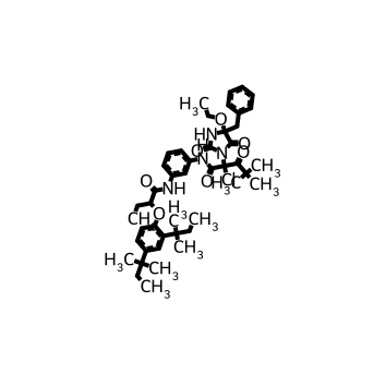 CCOC1(Cc2ccccc2)NC(=O)N(C(Cl)(C(=O)Nc2cccc(NC(=O)C(CC)Oc3ccc(C(C)(C)CC)cc3C(C)(C)CC)c2)C(=O)C(C)(C)C)C1=O